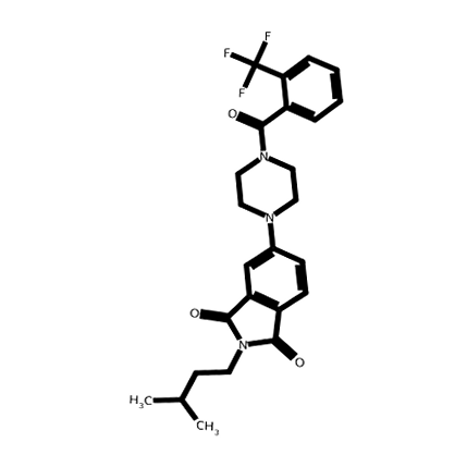 CC(C)CCN1C(=O)c2ccc(N3CCN(C(=O)c4ccccc4C(F)(F)F)CC3)cc2C1=O